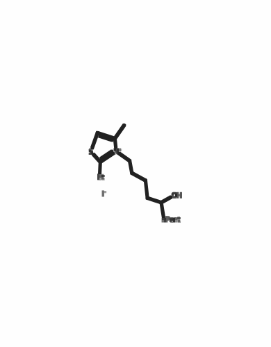 CCCCCC(O)CCCC[n+]1c(C)csc1CC.[I-]